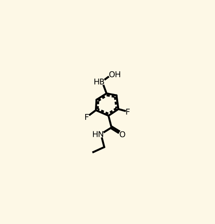 CCNC(=O)c1c(F)cc(BO)cc1F